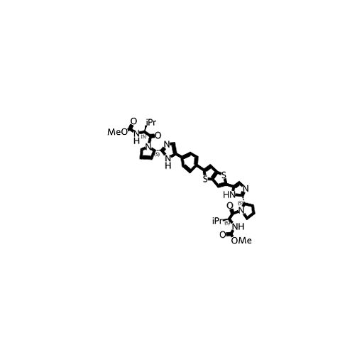 COC(=O)N[C@H](C(=O)N1CC=C[C@H]1c1ncc(-c2ccc(-c3cc4sc(-c5cnc([C@@H]6CCCN6C(=O)[C@@H](NC(=O)OC)C(C)C)[nH]5)cc4s3)cc2)[nH]1)C(C)C